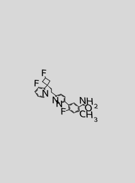 Cc1cc(F)c(-c2ccc(CC[C@]3(c4ncccc4F)C[C@H](F)C3)nn2)cc1C(N)=O